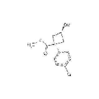 COC(=O)[C@]1(c2ccc(Cl)cc2)C[C@H](O)C1